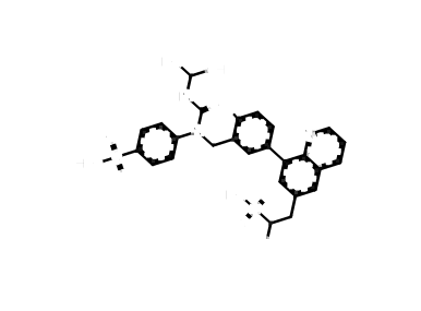 CC(C)NC(=O)N(Cc1cc(-c2cc(CC(C)S(C)(=O)=O)cc3cccnc23)ccc1F)c1ccc(S(C)(=O)=O)cc1